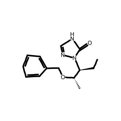 CC[C@@H]([C@H](C)OCc1ccccc1)n1nc[nH]c1=O